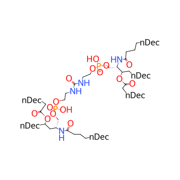 CCCCCCCCCCCCCC(=O)N[C@@H](COP(=O)(O)OCCNC(=O)NCCOP(=O)(O)OC[C@H](NC(=O)CCCCCCCCCCCCC)C(CCCCCCCCCCC)OC(=O)CCCCCCCCCCC)CC(CCCCCCCCCC)OC(=O)CCCCCCCCCCC